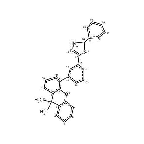 CC1(C)c2ccccc2Oc2c(-c3cccc(C4=NNC(c5ccccc5)S4)c3)cccc21